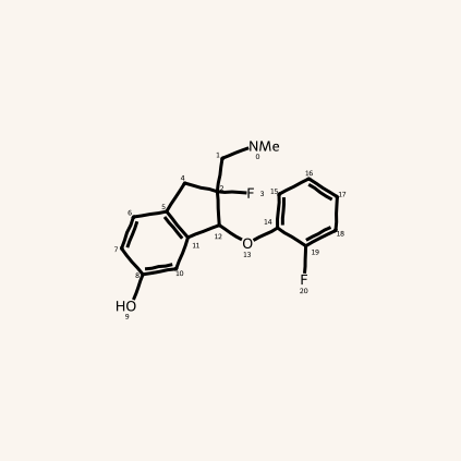 CNCC1(F)Cc2ccc(O)cc2C1Oc1ccccc1F